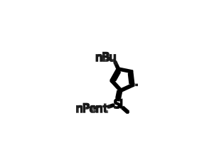 CCCCC[Si](C)=C1[C]=CC(CCCC)=C1